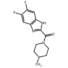 CN1CCN(C(=O)c2nc3cc(F)c(F)cc3[nH]2)CC1